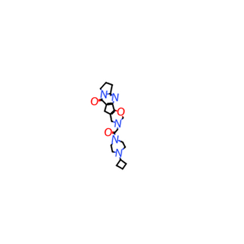 O=C(CN1COC2=C(Cc3c2nc2n(c3=O)CCC2)C1)N1CCN(C2CCC2)CC1